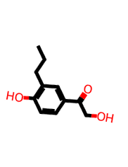 CCCc1cc(C(=O)CO)ccc1O